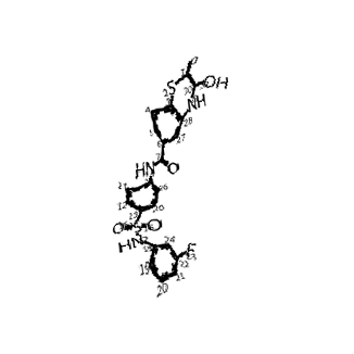 CC1Sc2ccc(C(=O)Nc3ccc(S(=O)(=O)Nc4cccc(F)c4)cc3)cc2NC1O